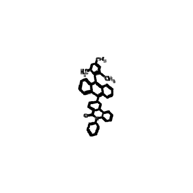 Cc1cc(C)c(-c2c3ccccc3c(-c3ccc4c(=O)n(-c5ccccc5)c5ccccc5c4c3)c3ccccc23)c(C)c1